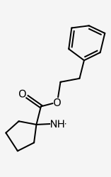 [NH]C1(C(=O)OCCc2ccccc2)CCCC1